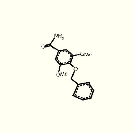 COc1cc(C(N)=O)cc(OC)c1OCc1ccccc1